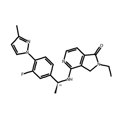 CCN1Cc2c(ccnc2N[C@@H](C)c2ccc(-n3ccc(C)n3)c(F)c2)C1=O